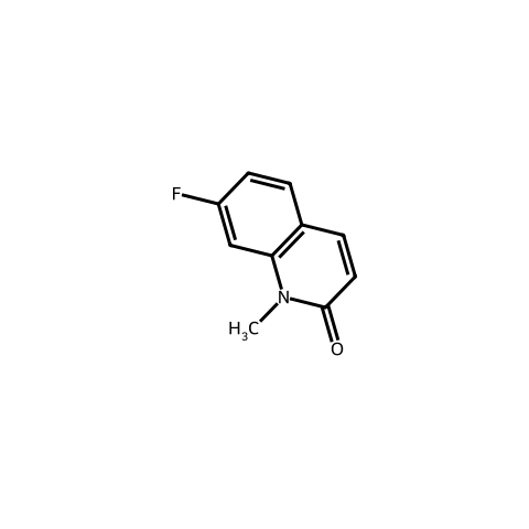 Cn1c(=O)ccc2ccc(F)cc21